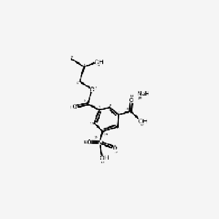 CC(O)COC(=O)c1cc(C(=O)O)cc(S(=O)(=O)O)c1.[NaH]